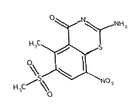 Cc1c(S(C)(=O)=O)cc([N+](=O)[O-])c2sc(N)nc(=O)c12